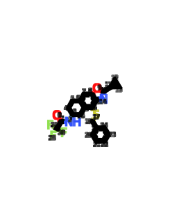 O=C(NC1CCc2cc3oc(C4CC4)nc3c(SCc3ccccc3)c2C1)C(F)(F)F